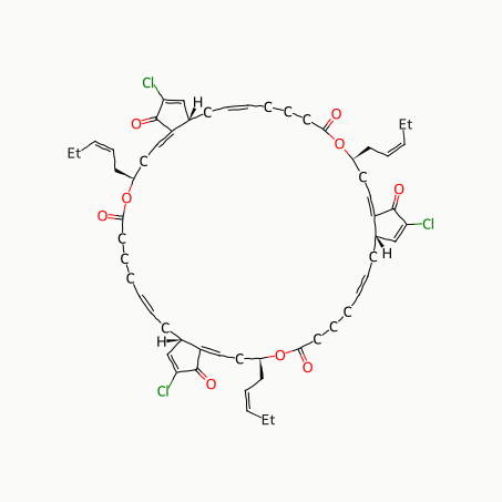 CC/C=C\C[C@H]1C/C=C2/C(=O)C(Cl)=C[C@@H]2C/C=C\CCCC(=O)O[C@@H](C/C=C\CC)C/C=C2/C(=O)C(Cl)=C[C@@H]2C/C=C\CCCC(=O)O[C@@H](C/C=C\CC)C/C=C2/C(=O)C(Cl)=C[C@@H]2C/C=C\CCCC(=O)O1